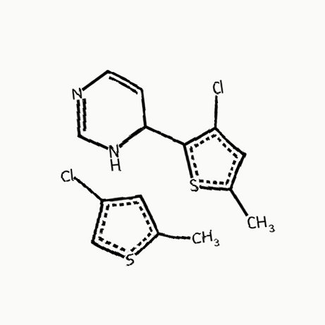 Cc1cc(Cl)c(C2C=CN=CN2)s1.Cc1cc(Cl)cs1